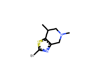 CCc1nc2c(s1)C(C)CN(C)C2